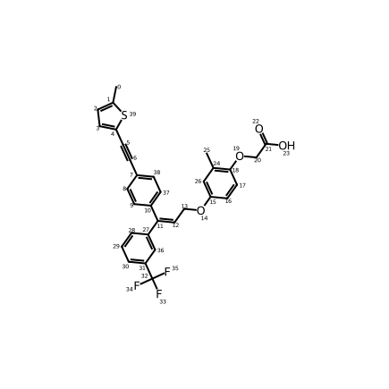 Cc1ccc(C#Cc2ccc(/C(=C\COc3ccc(OCC(=O)O)c(C)c3)c3cccc(C(F)(F)F)c3)cc2)s1